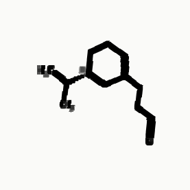 CC(C)[C@@H]1CCC=C(CCC=O)C1